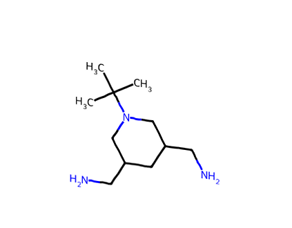 CC(C)(C)N1CC(CN)CC(CN)C1